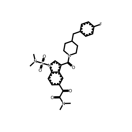 CN(C)C(=O)C(=O)c1ccc2c(c1)c(C(=O)N1CCC(Cc3ccc(F)cc3)CC1)cn2S(=O)(=O)N(C)C